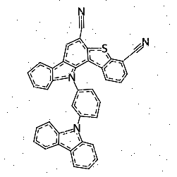 N#Cc1cccc2c1sc1c(C#N)cc3c4ccccc4n(-c4cccc(-n5c6ccccc6c6ccccc65)c4)c3c12